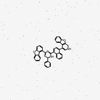 C1=C(c2ccc(C3=NC(c4cccc5oc6ccccc6c45)=NC(c4ccccc4)N3)c3ccccc23)c2c(oc3ccccc23)CN1